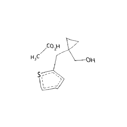 CC(=O)O.OCC1(Cc2cccs2)CC1